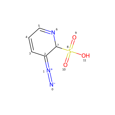 [N-]=[N+]=C1C=CC=NC1S(=O)(=O)O